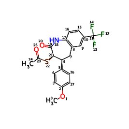 COc1ccc([C@@H]2Cc3cc(C(F)(F)F)ccc3NC(=O)[C@@H]2SC(C)=O)cc1